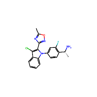 Cc1nc(-c2c(Cl)c3ccccc3n2-c2ccc([C@@H](C)N)c(F)c2)no1